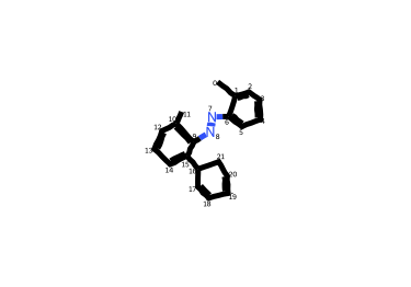 Cc1ccccc1/N=N/c1c(C)cccc1C1C=C[C]=CC1